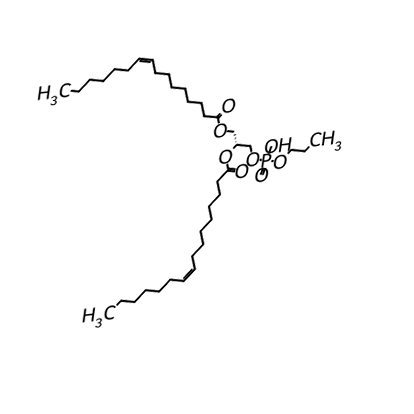 CCCCCC/C=C\CCCCCCCC(=O)OC[C@H](COP(=O)(O)OCCC)OC(=O)CCCCCCC/C=C\CCCCCC